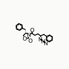 [N-]=[N+]=NC(CCC(=O)N1C(=O)OC[C@@H]1Cc1ccccc1)Cc1ccccc1